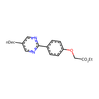 CCCCCCCCCCc1cnc(-c2ccc(OCC(=O)OCC)cc2)nc1